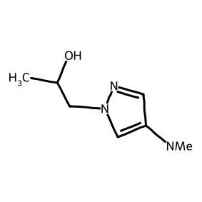 CNc1cnn(CC(C)O)c1